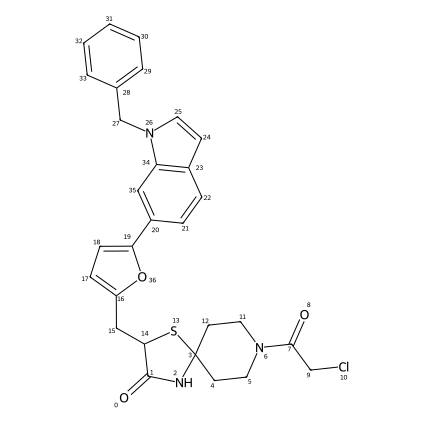 O=C1NC2(CCN(C(=O)CCl)CC2)SC1Cc1ccc(-c2ccc3ccn(Cc4ccccc4)c3c2)o1